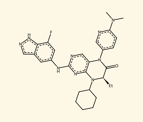 CC[C@@H]1C(=O)N(c2ccc(N(C)C)nc2)c2cnc(Nc3cc(F)c4[nH]ncc4c3)nc2N1C1CCCCC1